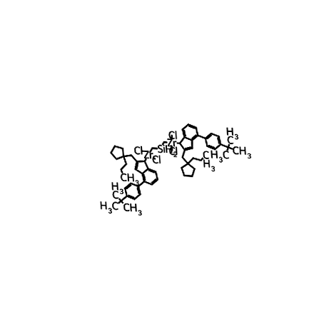 CCCC1(CC2=Cc3c(-c4ccc(C(C)(C)C)cc4)cccc3[CH]2[Zr]([Cl])([Cl])[CH2][SiH2][CH2][Zr]([Cl])([Cl])[CH]2C(CC3(CCC)CCCC3)=Cc3c(-c4ccc(C(C)(C)C)cc4)cccc32)CCCC1